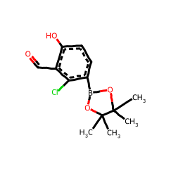 CC1(C)OB(c2ccc(O)c(C=O)c2Cl)OC1(C)C